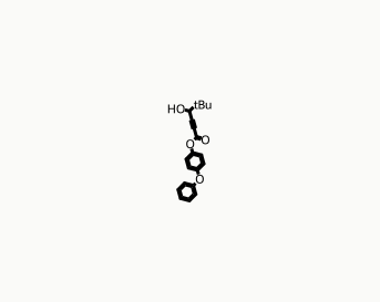 CC(C)(C)C(O)C#CC(=O)Oc1ccc(Oc2ccccc2)cc1